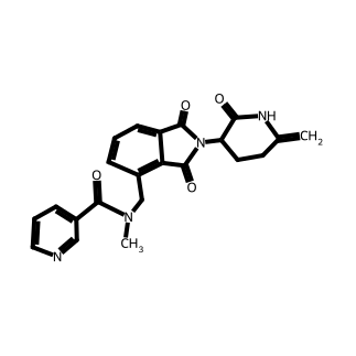 C=C1CCC(N2C(=O)c3cccc(CN(C)C(=O)c4cccnc4)c3C2=O)C(=O)N1